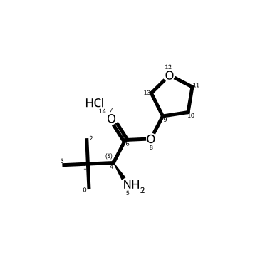 CC(C)(C)[C@H](N)C(=O)OC1CCOC1.Cl